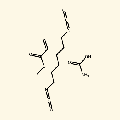 C=CC(=O)OC.NC(=O)O.O=C=NCCCCCCN=C=O